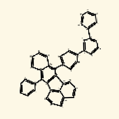 c1ccc(-c2c3c(c(-c4ccc(-c5cccc(-c6ccccn6)n5)cc4)c4ccccc24)-c2cccc4cccc-3c24)cc1